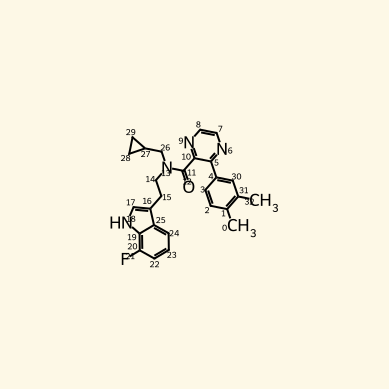 Cc1ccc(-c2nccnc2C(=O)N(CCc2c[nH]c3c(F)cccc23)CC2CC2)cc1C